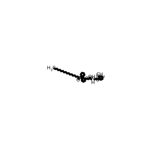 CCCCCCCCCCCCCCCCCC(=O)n1c2c(c3c(OCC(O)CNCCOc4ccccc4OC)cccc31)C=CCC2